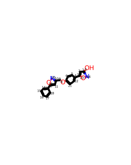 Oc1cc(-c2ccc(OCc3cc(-c4ccccc4)on3)cc2)on1